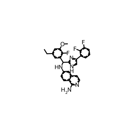 CCc1cc(OC)c(F)c(C(Nc2ccc3c(N)nccc3c2)c2nc(-c3cccc(F)c3F)c[nH]2)c1